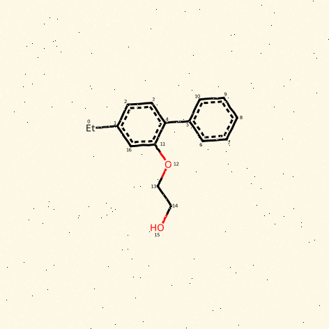 CCc1ccc(-c2ccccc2)c(OCCO)c1